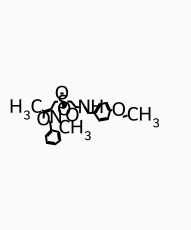 CCOc1ccc(CNC(=O)CS(=O)(=O)Cc2nc(-c3ccccc3C)oc2C)cc1